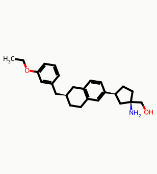 CCOc1cccc(C[C@@H]2CCc3cc([C@H]4CC[C@](N)(CO)C4)ccc3C2)c1